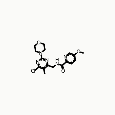 COc1ccc(C(=O)NCc2nc(N3CCOCC3)nc(Cl)c2C)nc1